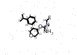 CC(C)c1cccc([C@H]2COCC[C@H]2O/C(N)=N\CF)c1